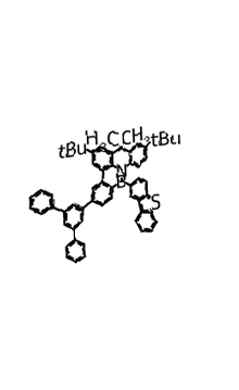 CC(C)(C)c1ccc2c(c1)C(C)(C)c1cc(C(C)(C)C)cc3c1N2B(c1ccc2sc4ccccc4c2c1)c1ccc(-c2cc(-c4ccccc4)cc(-c4ccccc4)c2)cc1-3